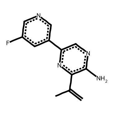 C=C(C)c1nc(-c2cncc(F)c2)cnc1N